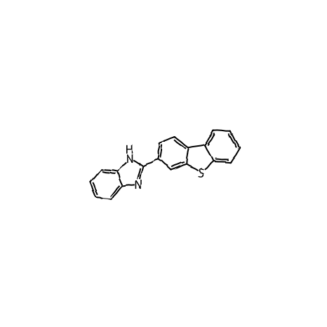 c1ccc2[nH]c(-c3ccc4c(c3)sc3ccccc34)nc2c1